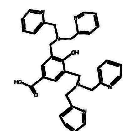 O=C(O)c1cc(CN(Cc2ccccn2)Cc2ccccn2)c(O)c(CN(Cc2ccccn2)Cc2ccccn2)c1